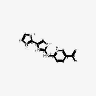 C=C(C)c1ccc(Nc2nc(-c3nccs3)cs2)nc1